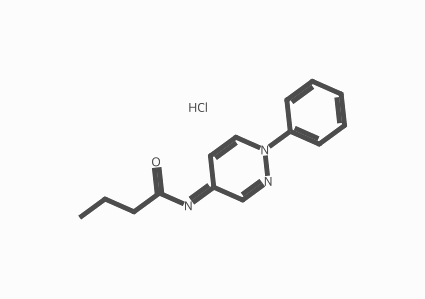 CCCC(=O)N=c1ccn(-c2ccccc2)nc1.Cl